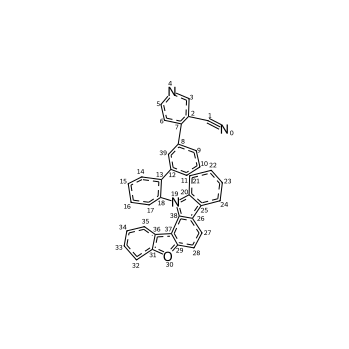 N#Cc1cnccc1-c1cccc(-c2ccccc2-n2c3ccccc3c3ccc4oc5ccccc5c4c32)c1